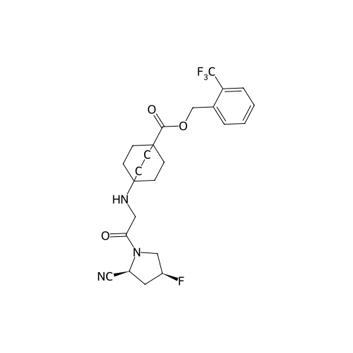 N#C[C@@H]1C[C@H](F)CN1C(=O)CNC12CCC(C(=O)OCc3ccccc3C(F)(F)F)(CC1)CC2